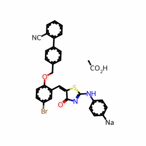 CC(=O)O.N#Cc1ccccc1-c1ccc(COc2ccc(Br)cc2C=C2SC(Nc3cc[c]([Na])cc3)=NC2=O)cc1